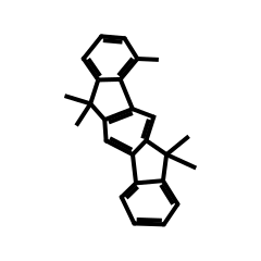 Cc1cccc2c1-c1cc3c(cc1C2(C)C)-c1ccccc1C3(C)C